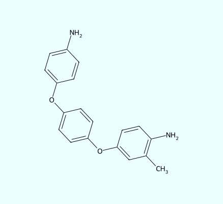 Cc1cc(Oc2ccc(Oc3ccc(N)cc3)cc2)ccc1N